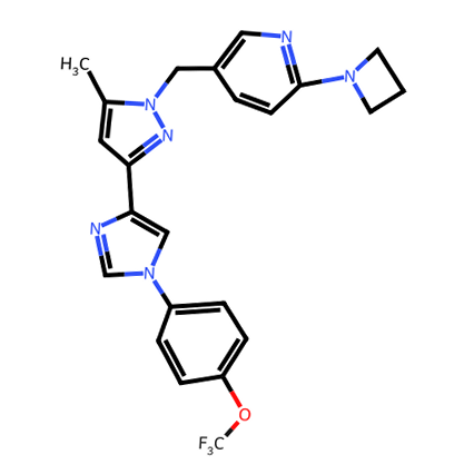 Cc1cc(-c2cn(-c3ccc(OC(F)(F)F)cc3)cn2)nn1Cc1ccc(N2CCC2)nc1